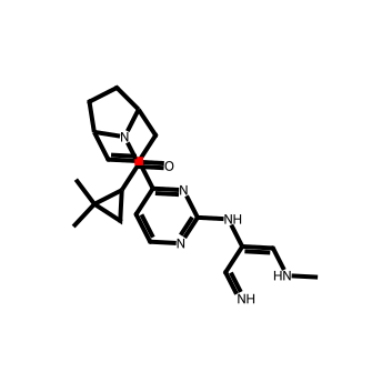 CN/C=C(\C=N)Nc1nccc(C2=CC3CCC(C2)N3C(=O)C2CC2(C)C)n1